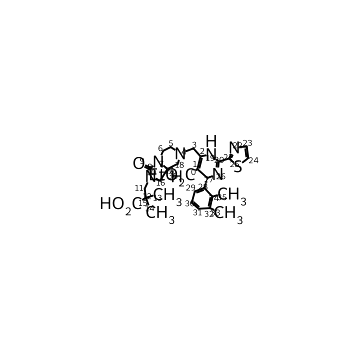 CCOC(=O)C1=C(CN2CCN3C(=O)N(CC(C)(C)C(=O)O)C[C@@H]3C2)NC(c2nccs2)=N[C@H]1c1cccc(C)c1C